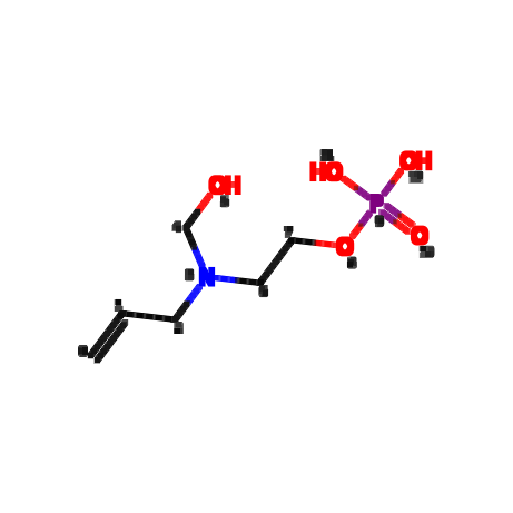 C=CCN(CO)CCOP(=O)(O)O